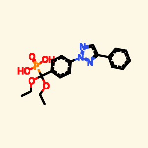 CCOC(OCC)(c1ccc(-n2ncc(-c3ccccc3)n2)cc1)P(=O)(O)O